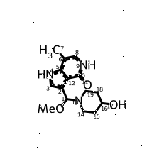 COC(c1c[nH]c2c(C)c[nH]c(=O)c12)N1CCC(O)CC1